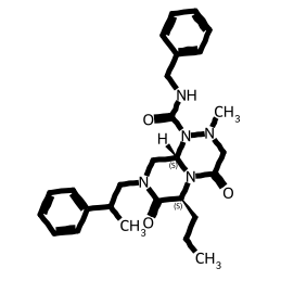 CCC[C@H]1C(=O)N(CC(C)c2ccccc2)C[C@H]2N1C(=O)CN(C)N2C(=O)NCc1ccccc1